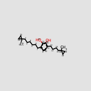 CCC1(CCCCCCc2ccc(CCCCC3(C)CC3)c(O)c2O)CC1